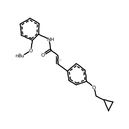 CCCCOc1ccccc1NC(=O)/C=C/c1ccc(OCC2CC2)cc1